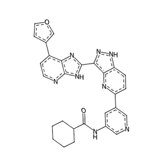 O=C(Nc1cncc(-c2ccc3[nH]nc(-c4nc5c(-c6ccoc6)ccnc5[nH]4)c3n2)c1)C1CCCCC1